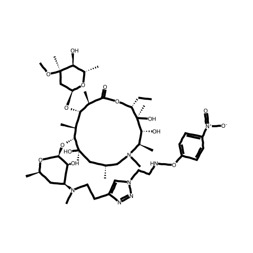 CC[C@H]1OC(=O)[C@H](C)[C@@H](O[C@H]2C[C@@](C)(OC)[C@@H](O)[C@H](C)O2)[C@H](C)[C@@H](O[C@@H]2O[C@H](C)C[C@H](N(C)CCc3cn(CCNOc4ccc([N+](=O)[O-])cc4)nn3)[C@H]2O)[C@](C)(O)C[C@@H](C)CN(C)[C@H](C)[C@@H](O)[C@]1(C)O